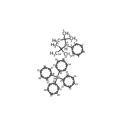 CC(C)(C)[PH+](c1ccccc1)C(C)(C)C.c1ccc([B-](c2ccccc2)(c2ccccc2)c2ccccc2)cc1